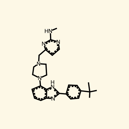 CNc1nccc(CN2CCN(c3cccc4nc(-c5ccc(C(C)(C)C)cc5)[nH]c34)CC2)n1